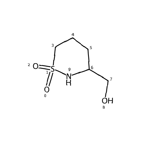 O=S1(=O)CCCC(CO)N1